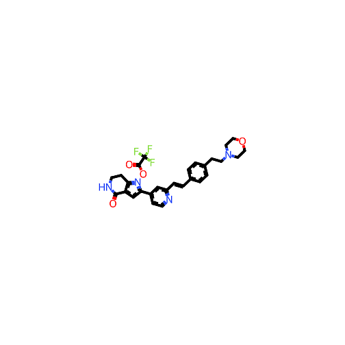 O=C1NCCc2c1cc(-c1ccnc(C=Cc3ccc(CCN4CCOCC4)cc3)c1)n2OC(=O)C(F)(F)F